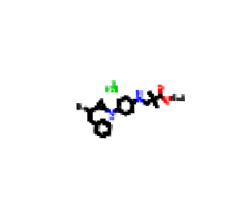 CCC(=Cc1ccccc1)C1CC1NC1CCC(NCC(C)(C)C(=O)OC(C)(C)C)CC1.Cl.Cl